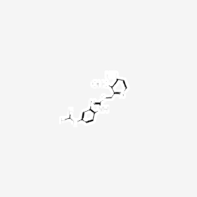 O=Cc1c(O)ccnc1CSc1nc2cc(OC(F)F)ccc2[nH]1